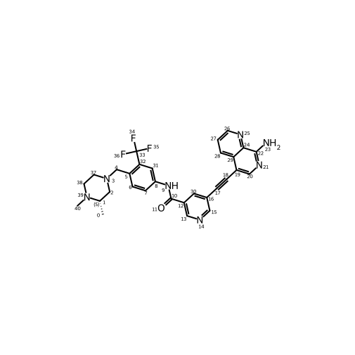 C[C@H]1CN(Cc2ccc(NC(=O)c3cncc(C#Cc4cnc(N)c5ncccc45)c3)cc2C(F)(F)F)CCN1C